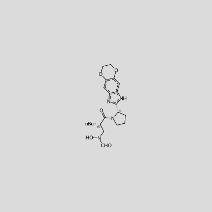 CCCC[C@@H](CN(O)C=O)C(=O)N1CCC[C@H]1c1nc2cc3c(cc2[nH]1)OCCO3